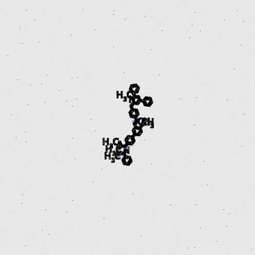 C#Cc1ccc(-c2ccc(/C(=N/C(=C/C)c3ccccc3)C(C)CC)cc2)cc1/C=C(\C)c1ccc(Cc2cc(-c3ccccc3)cc(C3(C)C=CC=CC3)n2)cc1